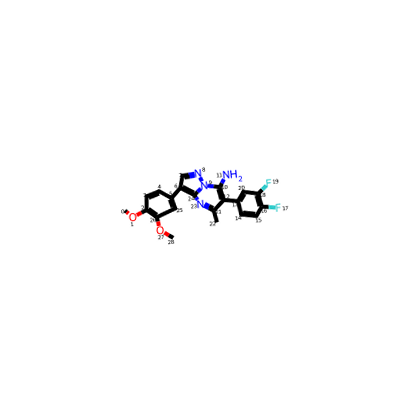 COc1ccc(-c2cnn3c(N)c(-c4ccc(F)c(F)c4)c(C)nc23)cc1OC